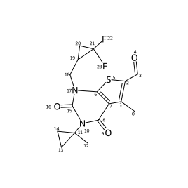 Cc1c(C=O)sc2c1c(=O)n(C1(C)CC1)c(=O)n2CC1CC1(F)F